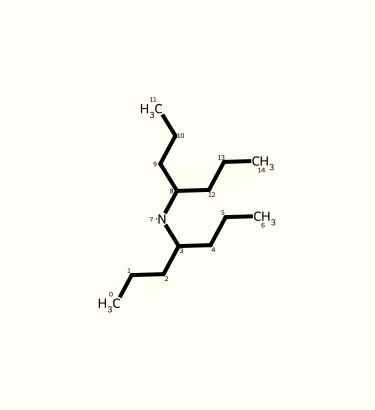 CCCC(CCC)[N]C(CCC)CCC